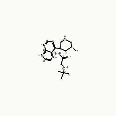 C[C@@H]1CNC[C@](NC(=O)CNC(C)(C)C)(c2ccnc3nccnc23)C1